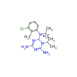 Cc1c(Cl)cccc1N(C(C)C)C1N=C(N)N=C(N)N1C(C)C